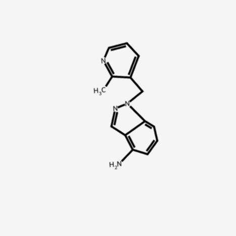 Cc1ncccc1Cn1ncc2c(N)cccc21